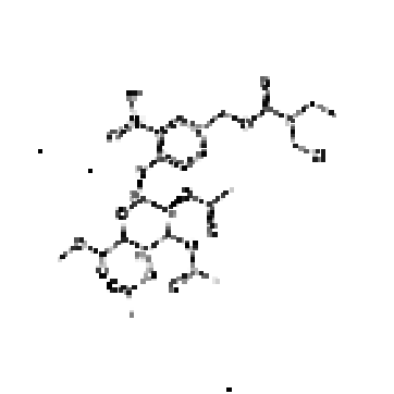 CCN(CCl)C(=O)OCc1ccc(O[C@@H]2OC(C(=O)OC)[C@@H](OC(C)=O)C(OC(C)=O)[C@@H]2OC(C)=O)c([N+](=O)[O-])c1